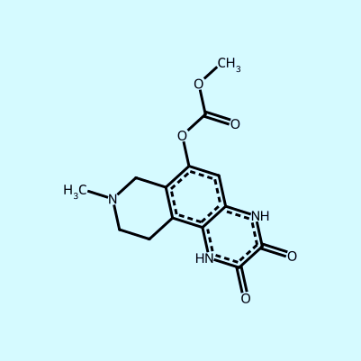 COC(=O)Oc1cc2[nH]c(=O)c(=O)[nH]c2c2c1CN(C)CC2